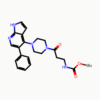 CC(C)(C)OC(=O)NCCC(=O)N1CCN(c2c(-c3ccccc3)cnc3[nH]ccc23)CC1